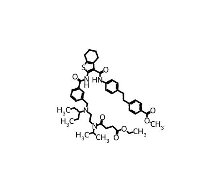 CCOC(=O)CCC(=O)N(CCN(Cc1cccc(C(=O)Nc2sc3c(c2C(=O)Nc2ccc(CCc4ccc(C(=O)OC)cc4)cc2)CCCC3)c1)C(CC)CC)C(C)C